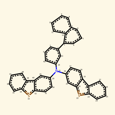 c1cc(-c2cccc3ccccc23)cc(N(c2ccc3c(c2)sc2ccccc23)c2ccc3sc4ccccc4c3c2)c1